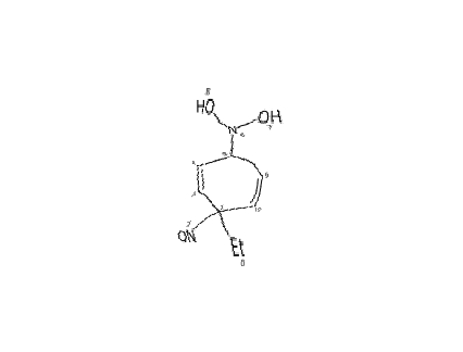 CCC1(N=O)C=CC(N(O)O)C=C1